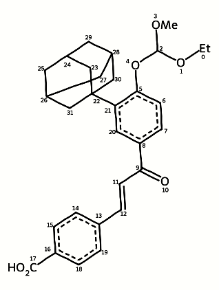 CCOC(OC)Oc1ccc(C(=O)/C=C/c2ccc(C(=O)O)cc2)cc1C12CC3CC(CC(C3)C1)C2